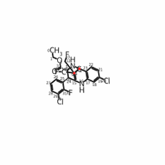 CCOC(=O)[C@@H]1NC23CC(CF)(CF)C2=C(Nc2cc(Cl)ccc23)[C@H]1c1cccc(Cl)c1F